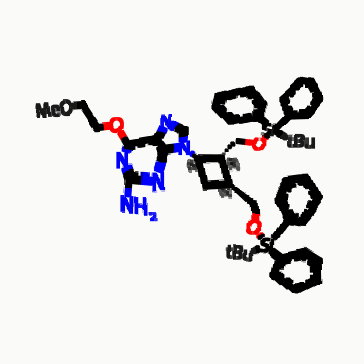 COCCOc1nc(N)nc2c1ncn2[C@H]1C[C@H](CO[Si](c2ccccc2)(c2ccccc2)C(C)(C)C)[C@H]1CO[Si](c1ccccc1)(c1ccccc1)C(C)(C)C